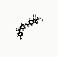 O=C(c1ccc(F)cc1)C1CCN(CCC2CCC(NC(=O)C(F)(F)F)CC2)CC1